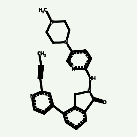 CC#Cc1cc(-c2cccc3c2CN(Nc2ccc(N4CCN(C)CC4)cn2)C3=O)ccn1